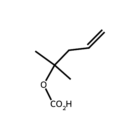 C=CCC(C)(C)OC(=O)O